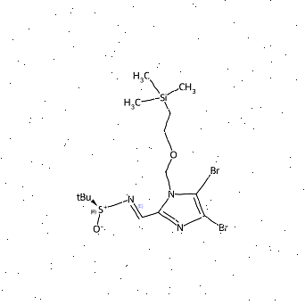 CC(C)(C)[S@+]([O-])/N=C/c1nc(Br)c(Br)n1COCC[Si](C)(C)C